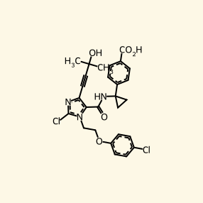 CC(C)(O)C#Cc1nc(Cl)n(CCOc2ccc(Cl)cc2)c1C(=O)NC1(c2ccc(C(=O)O)cc2)CC1